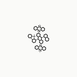 CN1c2ccccc2N(c2ccc3c(-c4cccc5ccccc45)c4cc(N5c6ccccc6N(C)c6ccccc65)ccc4c(-c4cccc5c4C(C)(C)c4ccccc4-5)c3c2)c2ccccc21